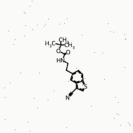 CC(C)(C)OC(=O)NCCc1ccc2scc(C#N)c2c1